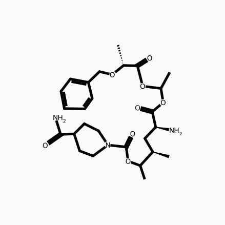 CC(OC(=O)[C@@H](N)C[C@@H](C)C(C)OC(=O)N1CCC(C(N)=O)CC1)OC(=O)[C@@H](C)OCc1ccccc1